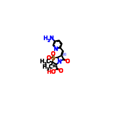 CC1(C)[C@H](C(=O)O)N2C(=O)/C(=C/c3ccc(N)cn3)C2S1(=O)=O